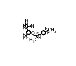 Cc1nc(-c2ccc(C(C)(F)F)cc2)sc1COc1cc(-c2nn[nH]c2C#N)cc(C(F)(F)F)c1